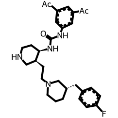 CC(=O)c1cc(NC(=O)N[C@@H]2CCNC[C@@H]2CCN2CCC[C@@H](Cc3ccc(F)cc3)C2)cc(C(C)=O)c1